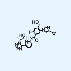 C[C@H](CO)n1nnnc1-c1cccc(NC(=O)c2cc(-n3cnc(C4CC4)c3)c(CO)cc2F)n1